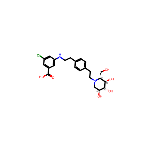 O=C(O)c1cc(Cl)cc(NCCc2ccc(CCN3C[C@H](O)[C@@H](O)[C@H](O)[C@H]3CO)cc2)c1